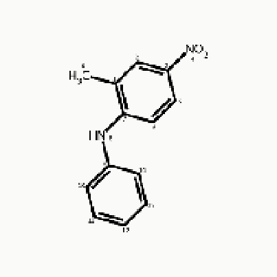 Cc1cc([N+](=O)[O-])ccc1Nc1ccccc1